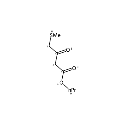 CCCOC(=O)CC(=O)CSC